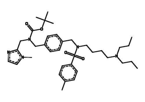 CCCN(CCC)CCCCN(Cc1ccc(CN(Cc2nccn2C)C(=O)OC(C)(C)C)cc1)S(=O)(=O)c1ccc(C)cc1